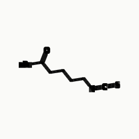 CCCCC(=O)CCCCN=C=S